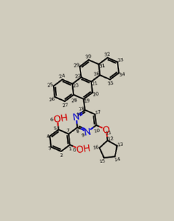 Oc1cccc(O)c1-c1nc(OC2CCCC2)cc(-c2cc3c(c4ccccc24)C=CC2C=CC=CC32)n1